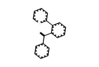 O=C(c1ccccc1)c1ccccc1-c1ccccn1